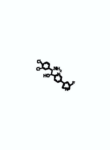 N[C@@H](c1ccc(Cl)c(Cl)c1)[C@H](O)c1ccc(-c2cncc(F)c2)cn1